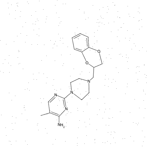 Cc1cnc(N2CCN(CC3COc4ccccc4O3)CC2)nc1N